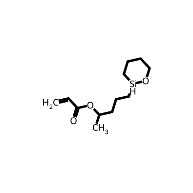 C=CC(=O)OC(C)CCC[SiH]1CCCCO1